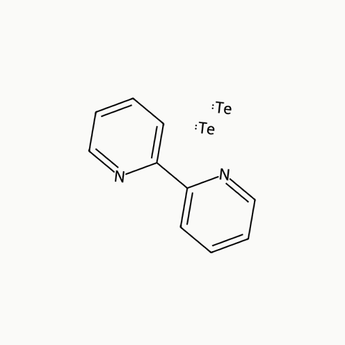 [Te].[Te].c1ccc(-c2ccccn2)nc1